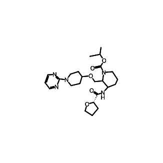 CC(C)OC(=O)N1CCCC(NC(=O)[C@@H]2CCCO2)C1COC1CCN(c2ncccn2)CC1